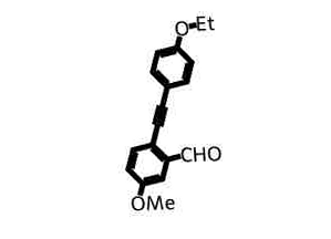 CCOc1ccc(C#Cc2ccc(OC)cc2C=O)cc1